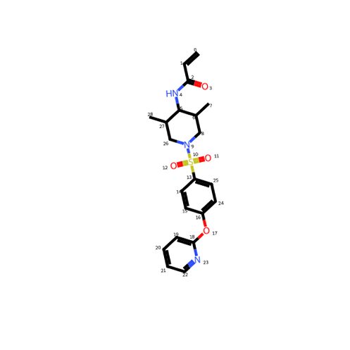 C=CC(=O)NC1C(C)CN(S(=O)(=O)c2ccc(Oc3ccccn3)cc2)CC1C